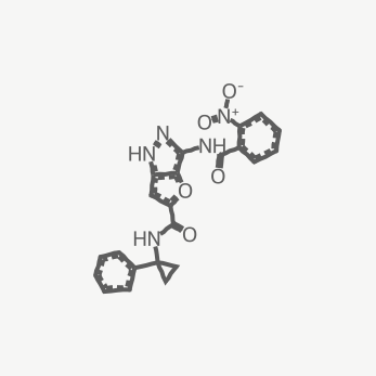 O=C(NC1(c2ccccc2)CC1)c1cc2[nH]nc(NC(=O)c3ccccc3[N+](=O)[O-])c2o1